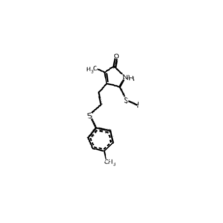 CC1=C(CCSc2ccc(C)cc2)C(SI)NC1=O